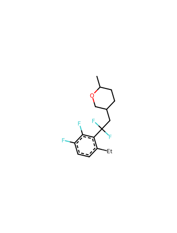 CCc1ccc(F)c(F)c1C(F)(F)CC1CCC(C)OC1